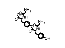 NCC(=O)N[C@@H](Cc1ccc(OC(=O)[C@H](Cc2ccc(O)cc2)NC(=O)CN)cc1)C(=O)O